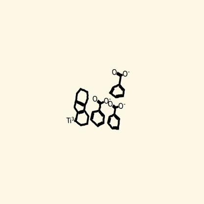 O=C([O-])c1ccccc1.O=C([O-])c1ccccc1.O=C([O-])c1ccccc1.[Ti+3][CH]1CCCC2=C1CC1=C2CCCC1